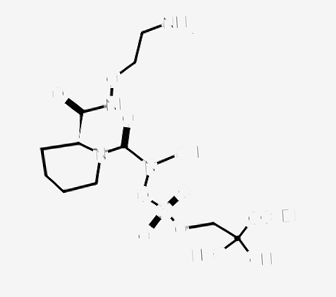 CCOC(=O)C(C)(C)COS(=O)(=O)ON(C)C(=O)N1CCCC[C@H]1C(=O)NOCCN